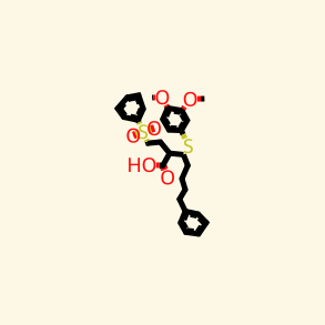 COc1ccc(SC(CCCCc2ccccc2)C(CCS(=O)(=O)c2ccccc2)C(=O)O)cc1OC